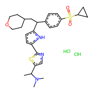 CC(c1cnc(-c2ccc(C(CC3CCOCC3)c3ccc(S(=O)(=O)C4CC4)cc3)[nH]2)s1)N(C)C.Cl.Cl